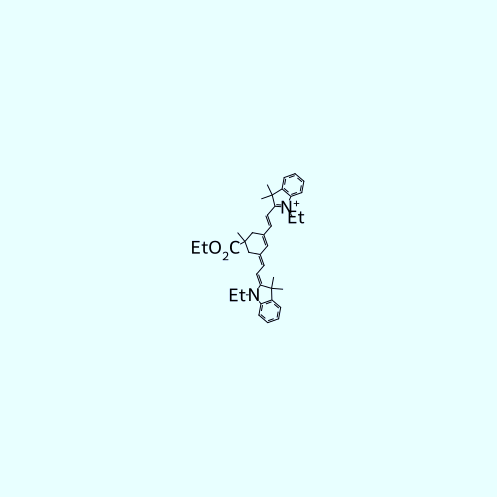 CCOC(=O)C1(C)CC(/C=C/C2=[N+](CC)c3ccccc3C2(C)C)=CC(=C/C=C2/N(CC)c3ccccc3C2(C)C)/C1